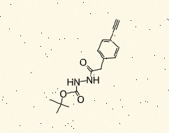 C#Cc1ccc(CC(=O)NNC(=O)OC(C)(C)C)cc1